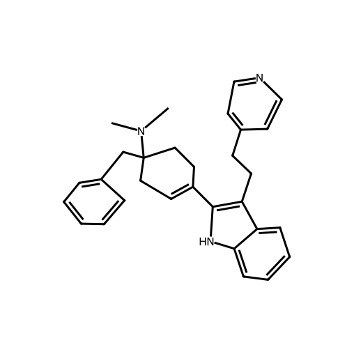 CN(C)C1(Cc2ccccc2)CC=C(c2[nH]c3ccccc3c2CCc2ccncc2)CC1